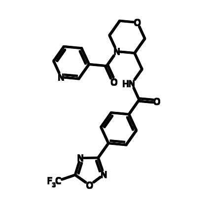 O=C(NCC1COCCN1C(=O)c1cccnc1)c1ccc(-c2noc(C(F)(F)F)n2)cc1